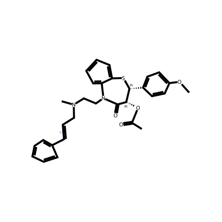 COc1ccc([C@H]2Sc3ccccc3N(CCN(C)C/C=C/c3ccccc3)C(=O)[C@H]2OC(C)=O)cc1